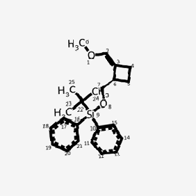 CO/C=C1/CC[C@H]1CO[Si](c1ccccc1)(c1ccccc1)C(C)(C)C